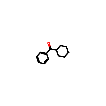 O=C(c1ccccc1)C1CC[CH]CC1